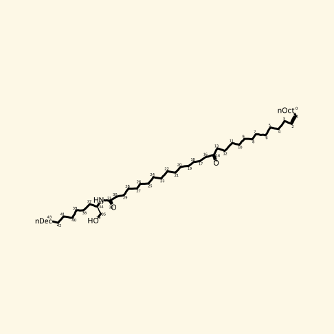 CCCCCCCC/C=C\CCCCCCCCCCCC(=O)CCCCCCCCCCCCCCCC(=O)N[C@@H](CO)CCCCCCCCCCCCCCCC